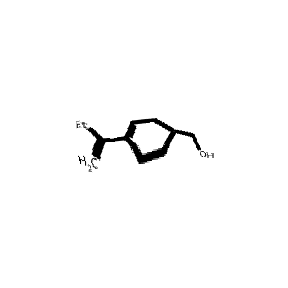 C=C(CC)C1=CCC(CO)CC1